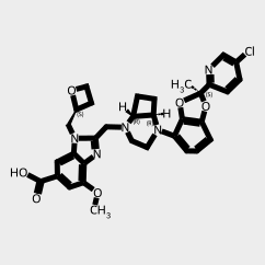 COc1cc(C(=O)O)cc2c1nc(CN1CCN(c3cccc4c3O[C@@](C)(c3ccc(Cl)cn3)O4)[C@@H]3CC[C@H]31)n2C[C@@H]1CCO1